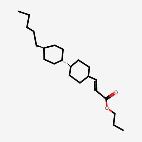 CCCCC[C@H]1CC[C@H](C2CCC(/C=C/C(=O)OCCC)CC2)CC1